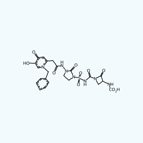 O=C(O)NC1CN(C(=O)NS(=O)(=O)N2CCN(NC(=O)Cc3cc(=O)c(O)cn3Cc3ccccc3)C2=O)C1=O